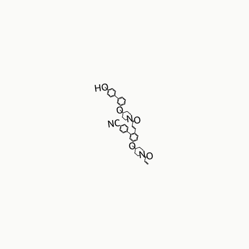 C=CC(=O)N1CCC(Oc2ccc(/C=C/C(=O)N3CCC(Oc4cccc(-c5ccc(O)cc5)c4)CC3)c(-c3ccc(C#N)cc3)c2)CC1